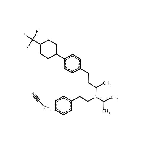 CC#N.CC(C)N(CCc1ccccc1)C(C)CCc1ccc(C2CCC(C(F)(F)F)CC2)cc1